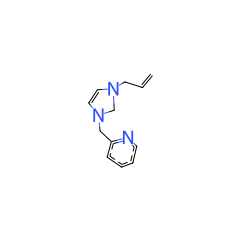 C=CCN1C=CN(Cc2ccccn2)C1